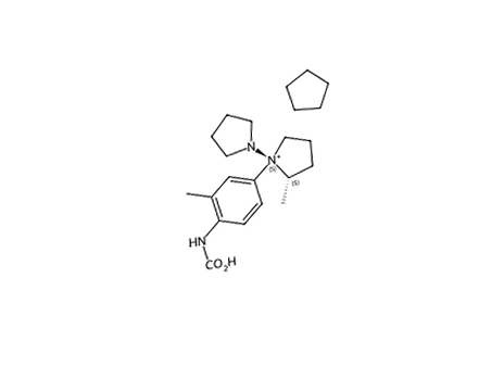 C1CCCC1.Cc1cc([N@+]2(N3CCCC3)CCC[C@@H]2C)ccc1NC(=O)O